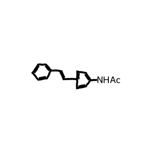 CC(=O)Nc1ccc(C=Cc2ccccc2)cc1